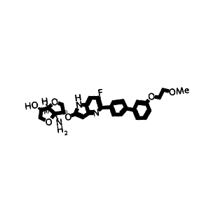 COCCOc1cccc(-c2ccc(-c3nc4cc(O[C@@H]5CO[C@@H]6[C@H](O)CO[C@@]65N)[nH]c4cc3F)cc2)c1